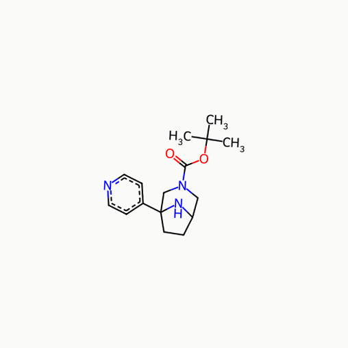 CC(C)(C)OC(=O)N1CC2CCC(c3ccncc3)(C1)N2